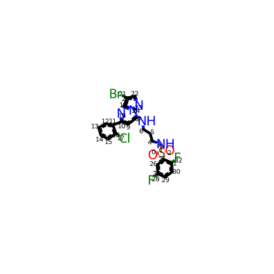 O=S(=O)(NCCCNc1cc(-c2ccccc2Cl)nc2c(Br)cnn12)c1cc(F)ccc1F